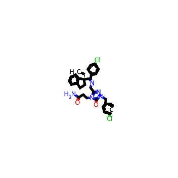 CC[C@]1(/C(=N\Cc2nn(Cc3ccc(Cl)cc3)c(=O)n2CCC(N)=O)c2ccc(Cl)cc2)CCc2ccccc21